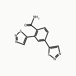 NC(=O)c1ccc(-c2cnns2)cc1-c1cnns1